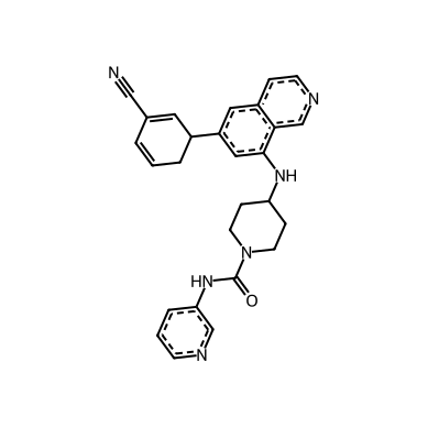 N#CC1=CC(c2cc(NC3CCN(C(=O)Nc4cccnc4)CC3)c3cnccc3c2)CC=C1